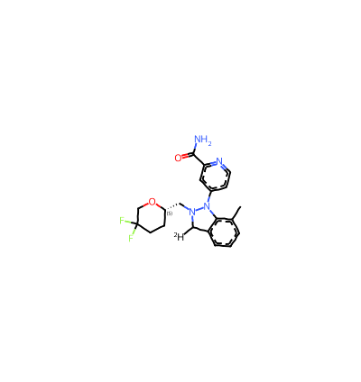 [2H]C1c2cccc(C)c2N(c2ccnc(C(N)=O)c2)N1C[C@@H]1CCC(F)(F)CO1